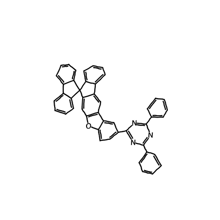 c1ccc(-c2nc(-c3ccccc3)nc(-c3ccc4oc5cc6c(cc5c4c3)-c3ccccc3C63c4ccccc4-c4ccccc43)n2)cc1